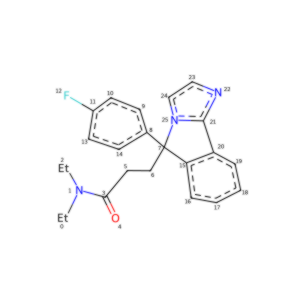 CCN(CC)C(=O)CCC1(c2ccc(F)cc2)c2ccccc2-c2nccn21